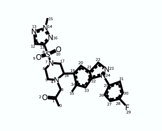 CC(=O)CN1CCN(S(=O)(=O)c2cnn(C)n2)CC1c1cc2cnn(-c3ccc(F)cc3)c2cc1C